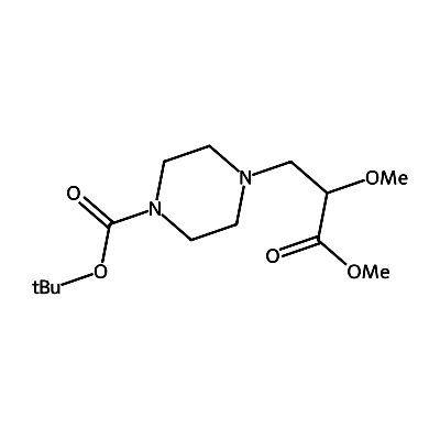 COC(=O)C(CN1CCN(C(=O)OC(C)(C)C)CC1)OC